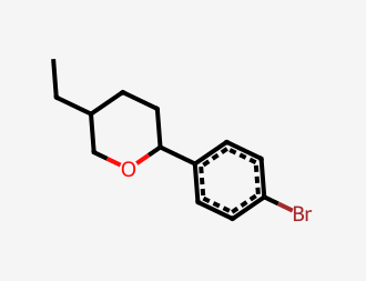 CCC1CCC(c2ccc(Br)cc2)OC1